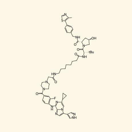 Cc1ncsc1-c1ccc(CNC(=O)[C@@H]2C[C@@H](O)CN2C(=O)[C@@H](NC(=O)CCCCCCCNC(=O)CN2CCN(C(=O)c3ccc(Nc4nc(C5CC5)cn5c(-c6cn[nH]c6)cnc45)c(F)c3)CC2)C(C)(C)C)cc1